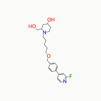 OCC1CC(O)CCN1CCCCCOCc1ccc(-c2ccnc(F)c2)cc1